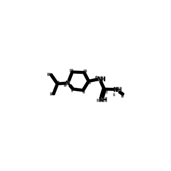 CNC(=N)NC1CCN(C(C)C)CC1